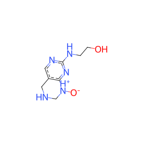 [O-][NH+]1CNCc2cnc(NCCO)nc21